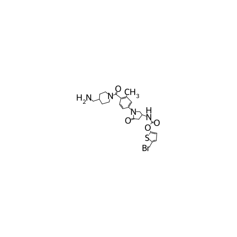 Cc1cc(N2CC(NC(=O)Oc3ccc(Br)s3)CC2=O)ccc1C(=O)N1CCC(CN)CC1